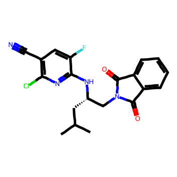 CC(C)C[C@@H](CN1C(=O)c2ccccc2C1=O)Nc1nc(Cl)c(C#N)cc1F